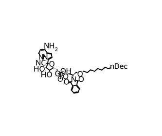 CCCCCCCCCCCCCCCCCCOC[C@H](COP(=O)(O)OC[C@H]1O[C@@](C#N)(c2ccc3c(N)ccnn23)[C@H](O)[C@@H]1O)N1C(=O)c2ccccc2C1=O